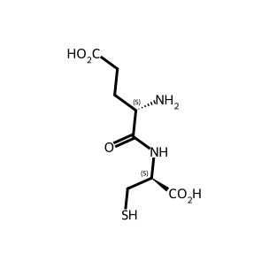 N[C@@H](CCC(=O)O)C(=O)N[C@H](CS)C(=O)O